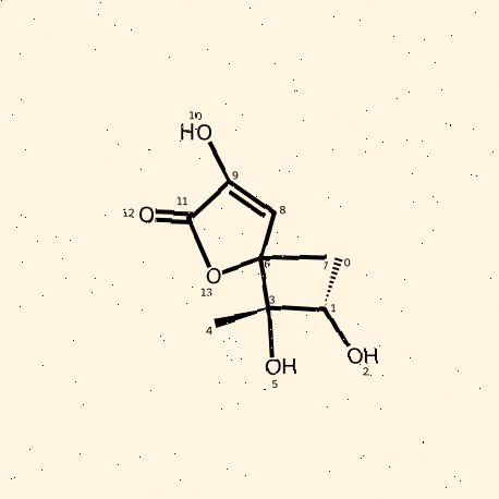 C[C@H](O)[C@](C)(O)C1(C)C=C(O)C(=O)O1